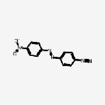 N#[N+]c1ccc(/N=N/c2ccc([N+](=O)[O-])cc2)cc1